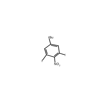 CC(C)(C)c1cc(I)c([N+](=O)[O-])c(I)c1